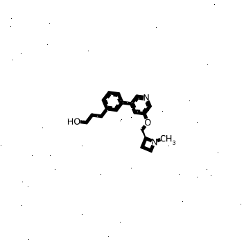 CN1CC[C@H]1COc1cncc(-c2cccc(CCCO)c2)c1